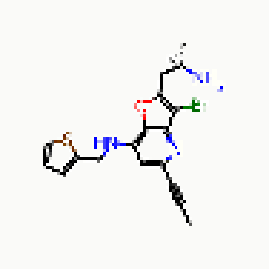 CC#Cc1cc(NCc2cccs2)c2oc(C[C@H](C)N)c(Br)c2n1